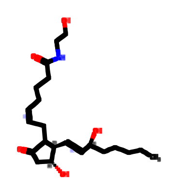 CCCCC[C@H](O)/C=C/[C@@H]1C(C/C=C\CCCC(=O)NCCO)C(=O)C[C@H]1O